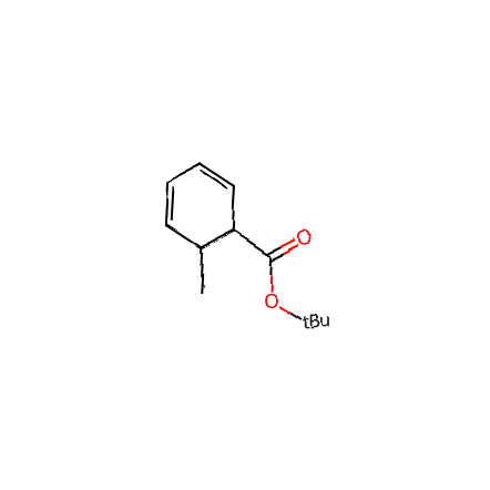 CC1C=CC=CC1C(=O)OC(C)(C)C